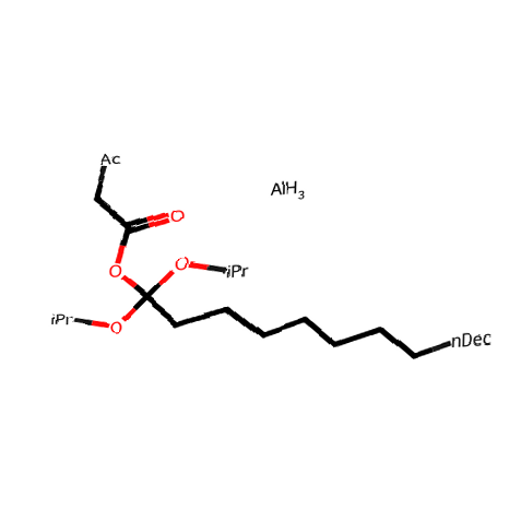 CCCCCCCCCCCCCCCCCC(OC(=O)CC(C)=O)(OC(C)C)OC(C)C.[AlH3]